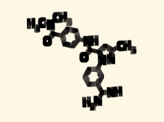 Cc1cc(C(=O)Nc2ccc(C(=O)N(C)C)cc2)n(-c2cccc(C(=N)N)c2)n1